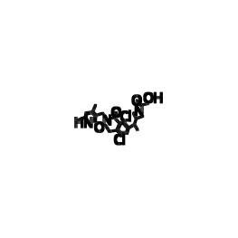 Cc1cc(C)c(CN2CCc3c(Cl)cc(C(C)C4CN(C(=O)CO)C4)c(Cl)c3C2=O)c(=O)[nH]1